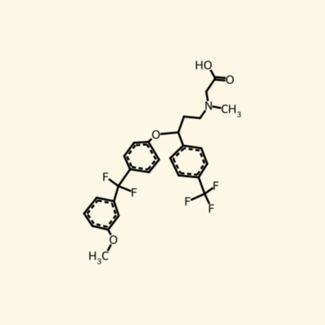 COc1cccc(C(F)(F)c2ccc(OC(CCN(C)CC(=O)O)c3ccc(C(F)(F)F)cc3)cc2)c1